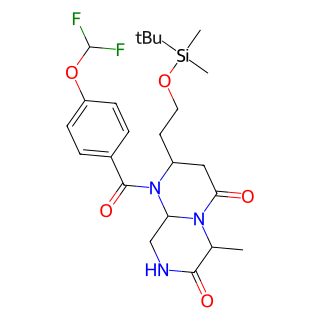 CC1C(=O)NCC2N(C(=O)c3ccc(OC(F)F)cc3)C(CCO[Si](C)(C)C(C)(C)C)CC(=O)N12